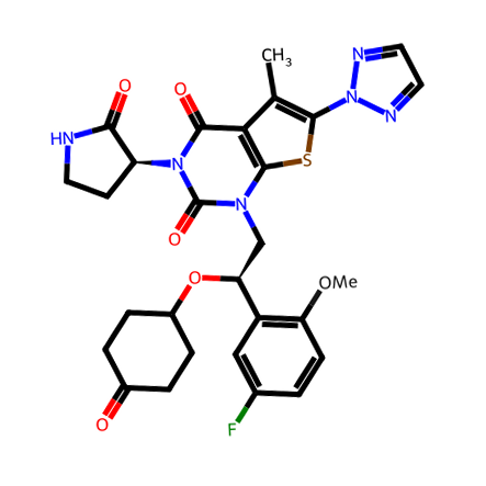 COc1ccc(F)cc1[C@H](Cn1c(=O)n([C@H]2CCNC2=O)c(=O)c2c(C)c(-n3nccn3)sc21)OC1CCC(=O)CC1